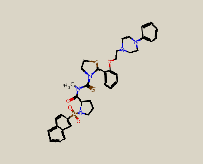 CN(C(=O)C1CCCN1S(=O)(=O)c1ccc2ccccc2c1)C(=S)N1CCSC1c1ccccc1OCCN1CCN(c2ccccc2)CC1